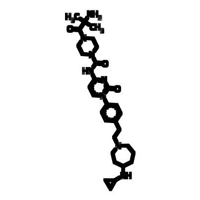 CC(C)(N)C(=O)N1CCN(C(=O)Nc2ccn(-c3ccc(CCN4CCCC(NC5CC5)CC4)cc3)c(=O)n2)CC1